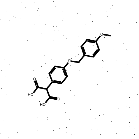 COc1ccc(COc2ccc(C(C(=O)O)C(=O)O)cc2)cc1